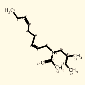 CC/C=C\CC/C=C\CN(CC(C)CC)C(C)=O